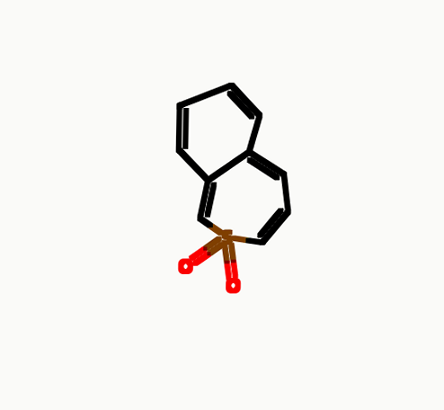 O=S1(=O)C=CC=c2ccccc2=C1